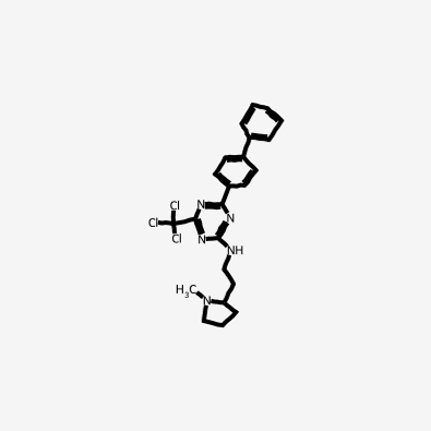 CN1CCCC1CCNc1nc(-c2ccc(-c3ccccc3)cc2)nc(C(Cl)(Cl)Cl)n1